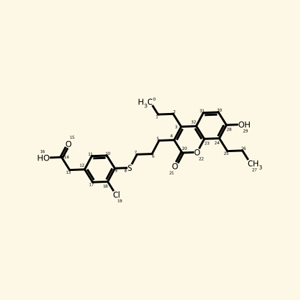 CCCc1c(CCCSc2ccc(CC(=O)O)cc2Cl)c(=O)oc2c(CCC)c(O)ccc12